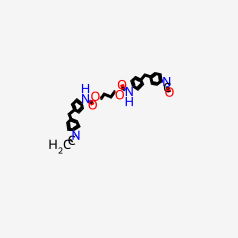 C=C=Nc1ccc(Cc2ccc(NC(=O)OCCCCOC(=O)Nc3ccc(Cc4ccc(N=C=O)cc4)cc3)cc2)cc1